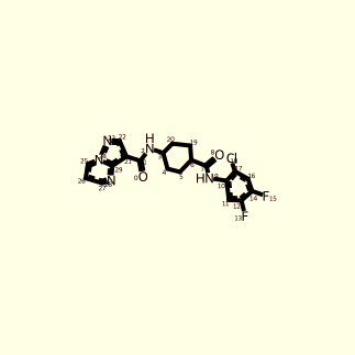 O=C(NC1CCC(C(=O)Nc2cc(F)c(F)cc2Cl)CC1)c1cnn2cccnc12